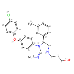 N#CN=C1N(CCCO)C[C@H](c2cccc(C(F)(F)F)c2)N1c1ccc(Oc2ccc(Cl)cc2)cc1